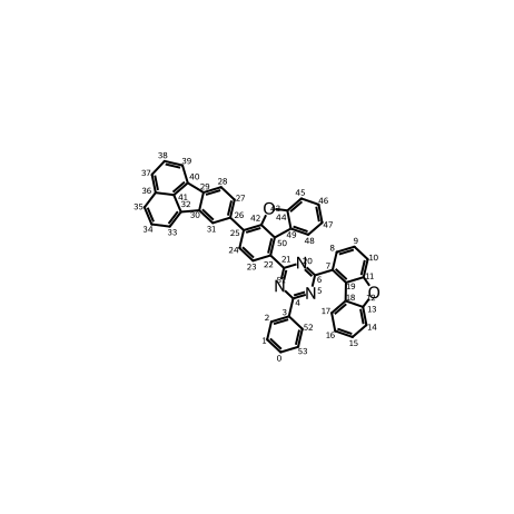 c1ccc(-c2nc(-c3cccc4oc5ccccc5c34)nc(-c3ccc(-c4ccc5c(c4)-c4cccc6cccc-5c46)c4oc5ccccc5c34)n2)cc1